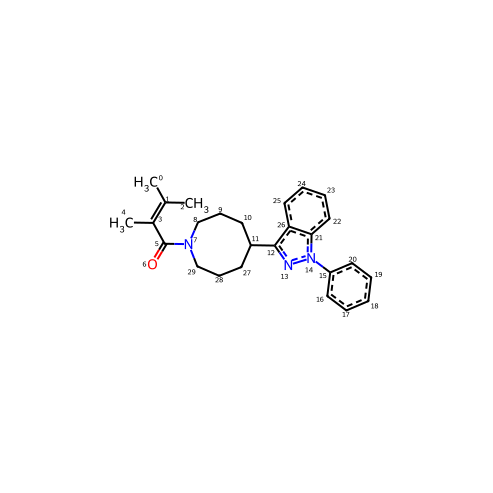 CC(C)=C(C)C(=O)N1CCCC(c2nn(-c3ccccc3)c3ccccc23)CCC1